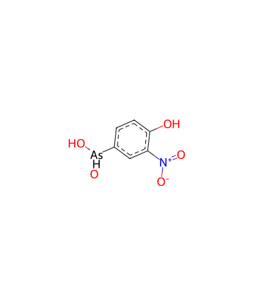 O=[N+]([O-])c1cc([AsH](=O)O)ccc1O